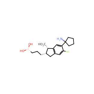 NC1(c2cc3c(cc2F)C[C@H](CCCB(O)O)[C@@H]3C(=O)O)CCCC1